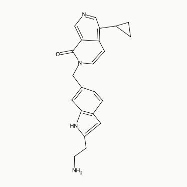 NCCc1cc2ccc(Cn3ccc4c(C5CC5)cncc4c3=O)cc2[nH]1